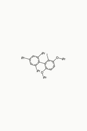 CC(C)Oc1ccc(OC(C)C)c(-c2c(C(C)C)cc(C(C)C)cc2C(C)C)c1I